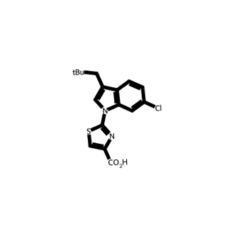 CC(C)(C)Cc1cn(-c2nc(C(=O)O)cs2)c2cc(Cl)ccc12